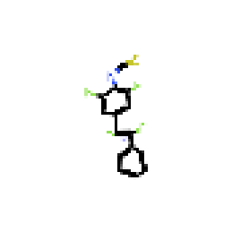 F/C(=C(/F)c1cc(F)c(N=C=S)c(F)c1)c1ccccc1